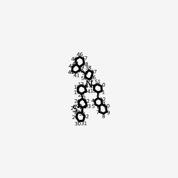 c1cc(-c2ccc3ccccc3c2)cc(N(c2cccc(-c3ccc4c(c3)sc3ccccc34)c2)c2cccc(-c3cccc4ccccc34)c2)c1